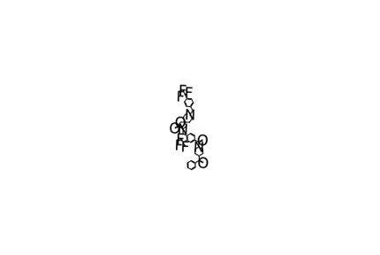 O=C(c1ccccc1)C1CCN(C(=O)c2ccc(CN3CC4(CCN(Cc5ccc(C(F)(F)F)cc5)CC4)OC3=O)c(C(F)(F)F)c2)CC1